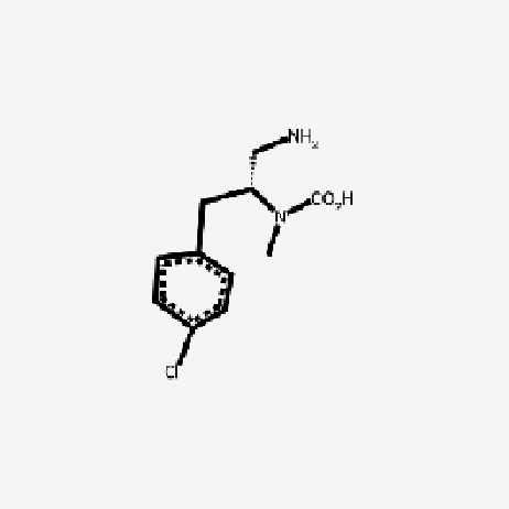 CN(C(=O)O)[C@@H](CN)Cc1ccc(Cl)cc1